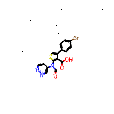 O=CN(c1ccnnc1)c1scc(-c2ccc(Br)cc2)c1C(=O)O